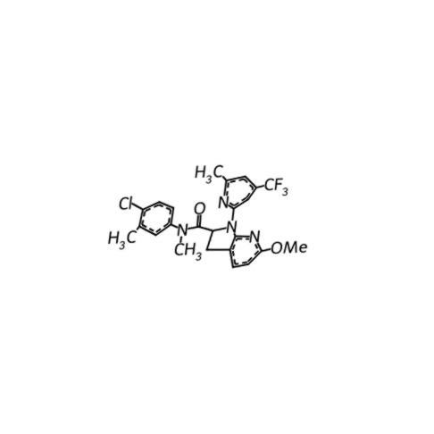 COc1ccc2c(n1)N(c1cc(C(F)(F)F)cc(C)n1)C(C(=O)N(C)c1ccc(Cl)c(C)c1)C2